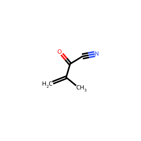 C=C(C)C(=O)C#N